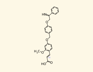 COc1cc(OCc2ccc(OCC(=N)c3ccccc3)cc2)ccc1/C=C/C(=O)O